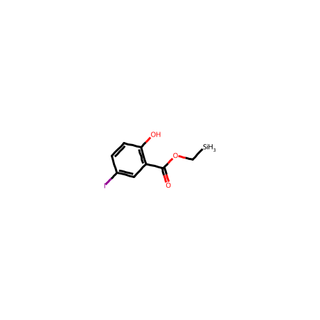 O=C(OC[SiH3])c1cc(I)ccc1O